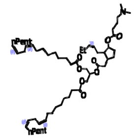 CC/C=C\CC1C(CC(=O)OC(COC(=O)CCCCCCC/C=C\C/C=C\CCCCC)COC(=O)CCCCCCC/C=C\C/C=C\CCCCC)CCC1OC(=O)CCCN(C)C